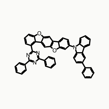 c1ccc(-c2ccc3c(c2)c2ccccc2n3-c2ccc3c(c2)oc2cc4c(cc23)oc2cccc(-c3nc(-c5ccccc5)nc(-c5ccccc5)n3)c24)cc1